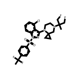 CC(F)(F)c1ccc(S(=O)(=O)n2nc(N3CCN(C(C)(CF)CF)CC34CC4)c3c(Cl)cccc32)cc1